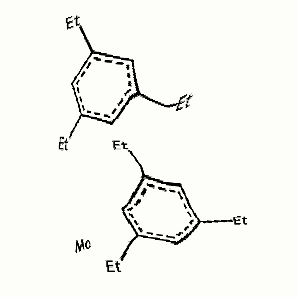 CCc1cc(CC)cc(CC)c1.CCc1cc(CC)cc(CC)c1.[Mo]